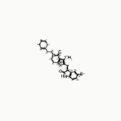 Cc1c(/C=C2\C(=O)Nc3ccc(Br)cc32)[nH]c2c1C(=O)N(CCN1CCCCC1)CC2